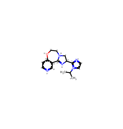 CC(C)n1ccnc1C1CN2CCOc3ccncc3C2=N1